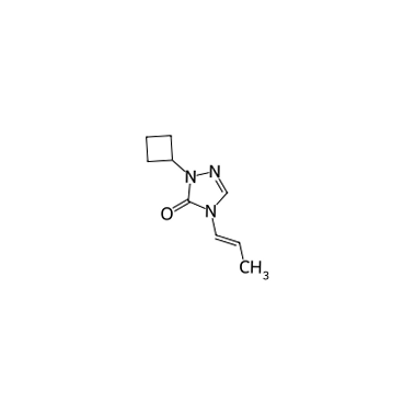 C/C=C/n1cnn(C2CCC2)c1=O